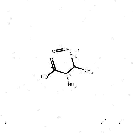 C=O.CC(C)[C@H](N)C(=O)O